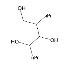 CCCC(O)C(O)C(CO)C(C)C